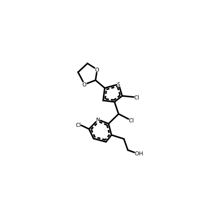 OCCc1ccc(Cl)nc1C(Cl)c1cc(C2OCCO2)sc1Cl